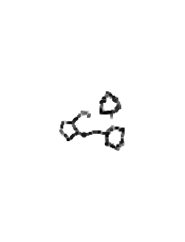 NC1CCCC1OCc1ccccc1-c1ccccc1